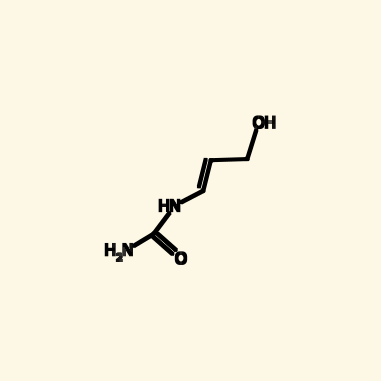 NC(=O)NC=CCO